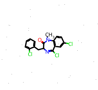 CN1C(=O)C(Cc2ccccc2Cl)N=C(Cl)c2cc(Cl)ccc21